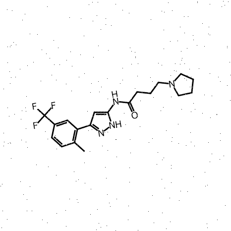 Cc1ccc(C(F)(F)F)cc1-c1cc(NC(=O)CCCN2CCCC2)[nH]n1